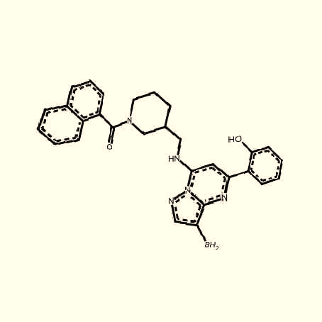 Bc1cnn2c(NCC3CCCN(C(=O)c4cccc5ccccc45)C3)cc(-c3ccccc3O)nc12